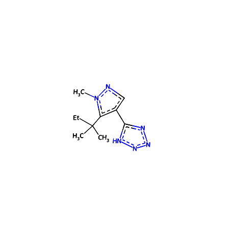 CCC(C)(C)c1c(-c2nnn[nH]2)cnn1C